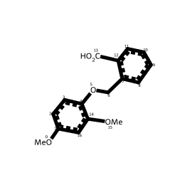 COc1ccc(OCc2ccccc2C(=O)O)c(OC)c1